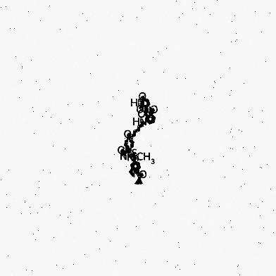 Cc1sc(C(C(N)=O)N2CCN(C(=O)CCCCCNc3cccc4c3C(=O)N(C3CCC(=O)NC3=O)C4=O)CC2)nc1-c1ccc2c(c1)CCN2C(=O)C1CC1